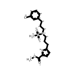 COC(=O)c1ccc(CCCN(CCCc2cccc(Cl)c2)S(C)(=O)=O)s1